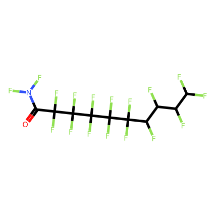 O=C(N(F)F)C(F)(F)C(F)(F)C(F)(F)C(F)(F)C(F)(F)C(F)C(F)C(F)C(F)F